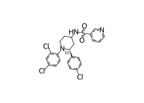 O=S(=O)(NC1CCN(c2ccc(Cl)cc2Cl)[C@H](c2ccc(Cl)cc2)C1)c1cccnc1